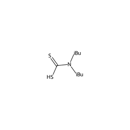 CCC(C)N(C(=S)S)C(C)CC